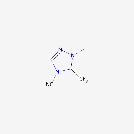 CN1N=CN(C#N)C1C(F)(F)F